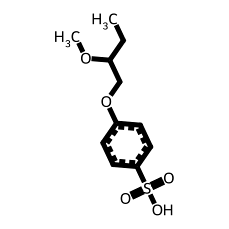 CCC(COc1ccc(S(=O)(=O)O)cc1)OC